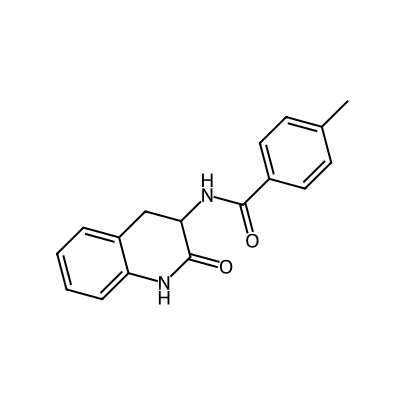 Cc1ccc(C(=O)NC2Cc3ccccc3NC2=O)cc1